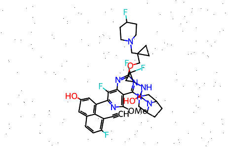 C#Cc1c(F)ccc2cc(O)cc(-c3nc(OC)c4c(N5CC6CCC(C5)N6C(O)NC5CC5(F)F)nc(OCC5(CN6CCC(F)CC6)CC5)nc4c3F)c12